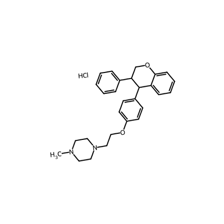 CN1CCN(CCOc2ccc(C3c4ccccc4OCC3c3ccccc3)cc2)CC1.Cl